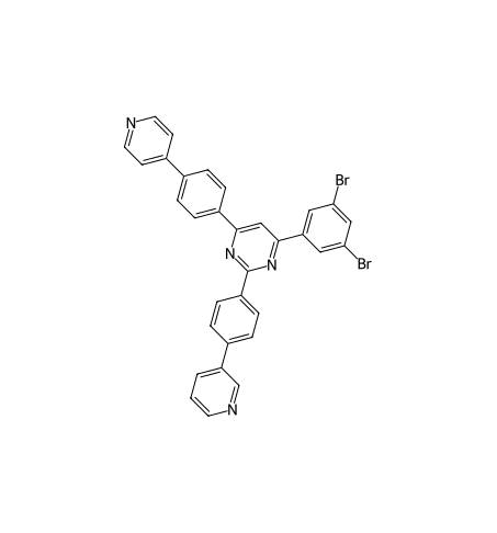 Brc1cc(Br)cc(-c2cc(-c3ccc(-c4ccncc4)cc3)nc(-c3ccc(-c4cccnc4)cc3)n2)c1